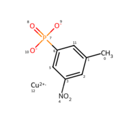 Cc1cc([N+](=O)[O-])cc(P(=O)([O-])[O-])c1.[Cu+2]